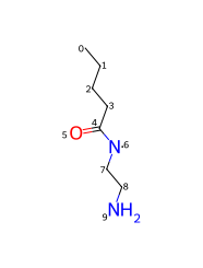 CCCCC(=O)[N]CCN